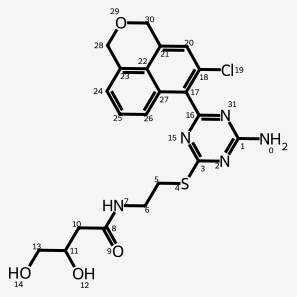 Nc1nc(SCCNC(=O)CC(O)CO)nc(-c2c(Cl)cc3c4c(cccc24)COC3)n1